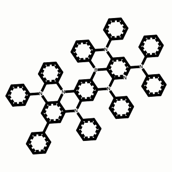 c1ccc(-c2cc3c4c(c2)N(c2ccccc2)c2cc5c(cc2N4c2ccccc2N3c2ccccc2)B2c3ccccc3N(c3ccccc3)c3cc(N(c4ccccc4)c4ccccc4)nc(c32)N5c2ccccc2)cc1